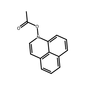 CC(=O)ON1C=Cc2cccc3cccc1c23